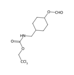 O=COC1CCC(CNC(=O)OCC(Cl)(Cl)Cl)CC1